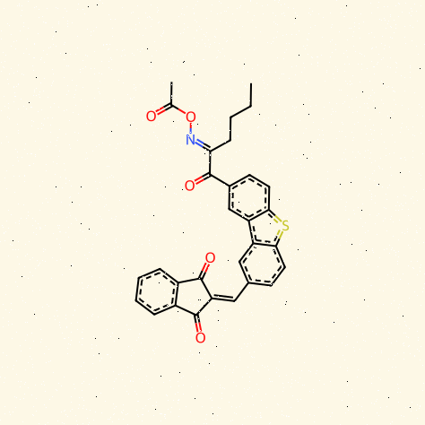 CCCC/C(=N\OC(C)=O)C(=O)c1ccc2sc3ccc(C=C4C(=O)c5ccccc5C4=O)cc3c2c1